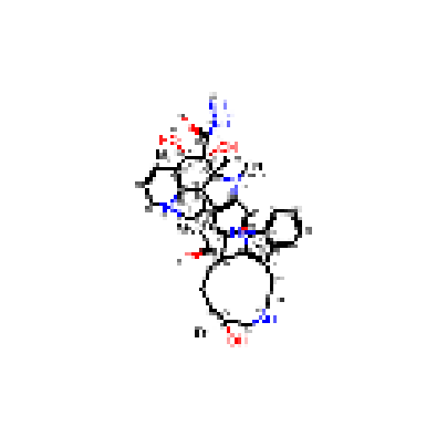 CC[C@]1(O)CCC[C@](C(=O)OC)(c2cc3c(cc2OC)N(C)[C@H]2[C@@](O)(C(=O)NN)[C@H](O)[C@]4(CC)C=CCN5CC[C@]32[C@@H]54)c2[nH]c3ccccc3c2CCNC1